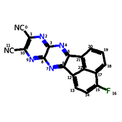 N#Cc1nc2nc3c(nc2nc1C#N)-c1ccc(F)c2cccc-3c12